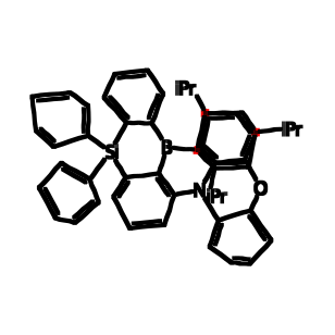 CC(C)c1cc(C(C)C)c(B2c3ccccc3[Si](c3ccccc3)(c3ccccc3)c3cccc(N4c5ccccc5Oc5ccccc54)c32)c(C(C)C)c1